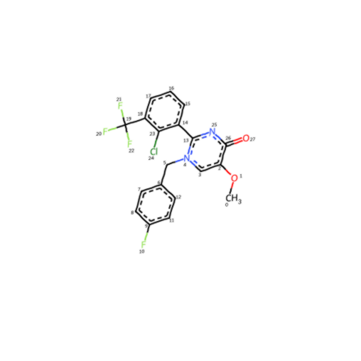 COc1cn(Cc2ccc(F)cc2)c(-c2cccc(C(F)(F)F)c2Cl)nc1=O